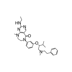 CCNc1ncc2c(n1)N(C)CCN(c1cccc(OC(CN(C)CCc3ccccc3)C(C)C)c1)C2=O